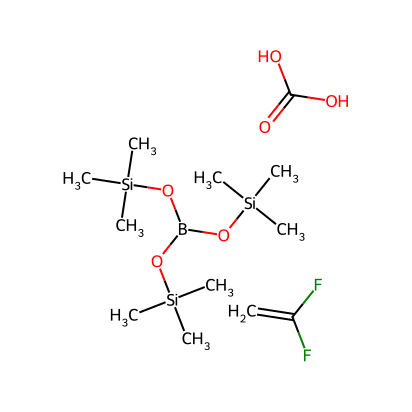 C=C(F)F.C[Si](C)(C)OB(O[Si](C)(C)C)O[Si](C)(C)C.O=C(O)O